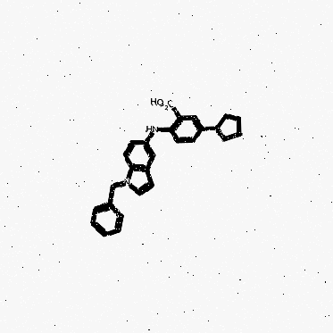 O=C(O)c1cc(C2CCCC2)ccc1Nc1ccc2c(ccn2Cc2ccccc2)c1